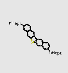 CCCCCCCc1ccc2cc3c(cc2c1)sc1cc2cc(CCCCCCC)ccc2cc13